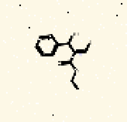 CCOC(=O)/C(=C/I)C(O)c1ccccc1